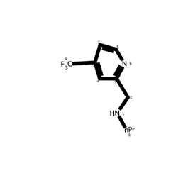 CCCNCc1cc(C(F)(F)F)ccn1